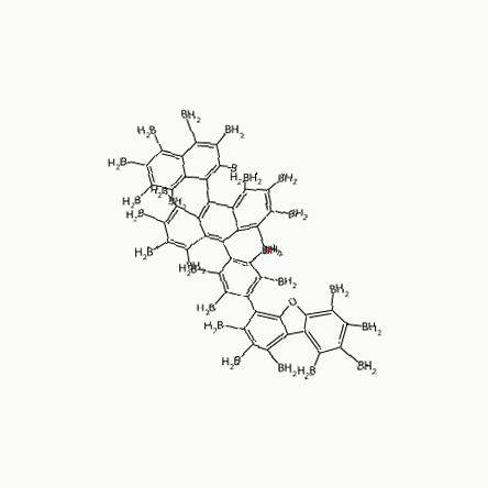 Bc1c(B)c(-c2c3c(B)c(B)c(B)c(B)c3c(-c3c(B)c(B)c(B)c4c(B)c(B)c(B)c(B)c34)c3c(B)c(B)c(B)c(B)c23)c(B)c(B)c1-c1c(B)c(B)c(B)c2c1oc1c(B)c(B)c(B)c(B)c12